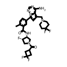 Cc1ccc(-c2cc(CN3CCC(F)(F)CC3)c3c(N)ncnn23)cc1C(=O)N[C@@H]1CN(C(=O)C2CC(F)(F)C2)C[C@@H]1F